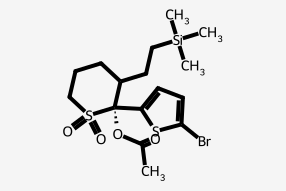 CC(=O)O[C@@]1(c2ccc(Br)s2)C(CC[Si](C)(C)C)CCCS1(=O)=O